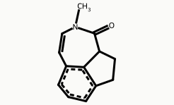 CN1C=Cc2cccc3c2C(CC3)C1=O